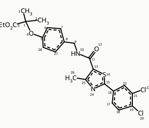 CCOC(=O)C(C)(C)Oc1ccc(CNC(=O)c2sc(-c3ccc(Cl)c(Cl)c3)nc2C)cc1